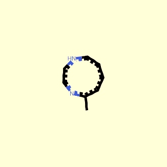 Cc1cccc[nH]ccn1